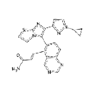 NC(=O)/C=C/c1c(-c2c(-c3ccn(C4CC4)n3)nc3sccn23)ccc2ncncc12